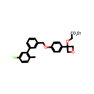 CCOC(=O)COC1(c2ccc(OCc3cccc(-c4cc(F)ccc4C)c3)cc2)COC1